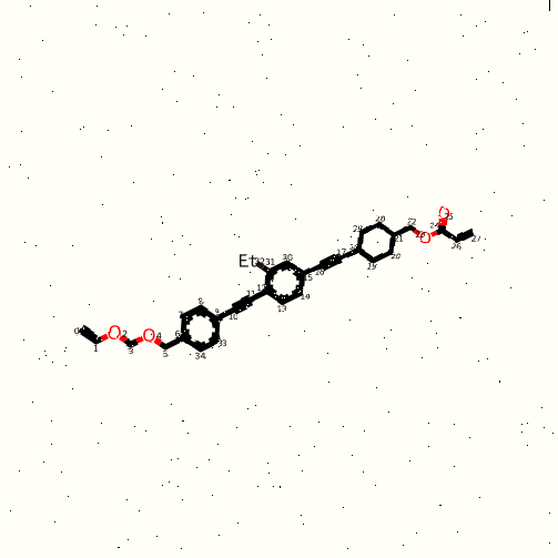 C=COCOCc1ccc(C#Cc2ccc(C#CC3CCC(COC(=O)C=C)CC3)cc2CC)cc1